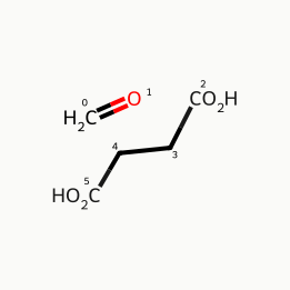 C=O.O=C(O)CCC(=O)O